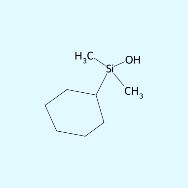 C[Si](C)(O)C1CCCCC1